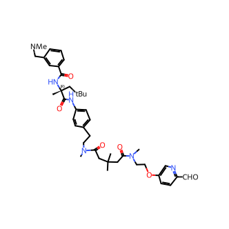 CNCc1cccc(C(=O)N[C@](C)(CC(C)(C)C)C(=O)Nc2ccc(CCN(C)C(=O)CC(C)(C)CC(=O)N(C)CCOc3ccc(C=O)nc3)cc2)c1